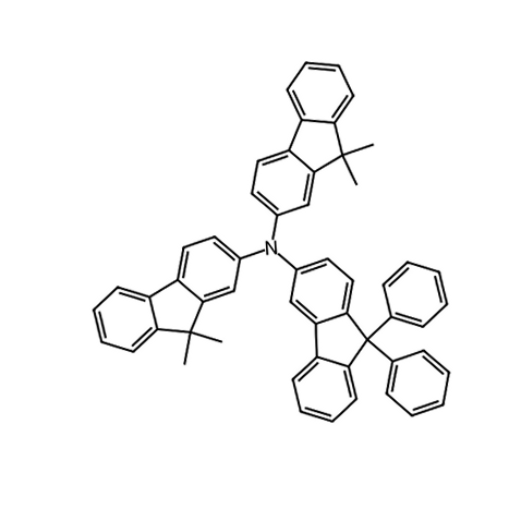 CC1(C)c2ccccc2-c2ccc(N(c3ccc4c(c3)-c3ccccc3C4(c3ccccc3)c3ccccc3)c3ccc4c(c3)C(C)(C)c3ccccc3-4)cc21